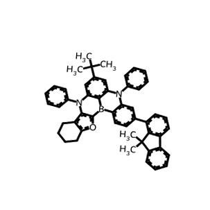 CC(C)(C)c1cc2c3c(c1)N(c1ccccc1)c1c(oc4c1CCCC4)B3c1ccc(-c3cccc4c3C(C)(C)c3ccccc3-4)cc1N2c1ccccc1